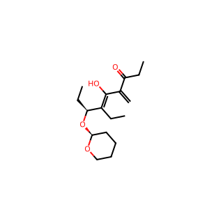 C=C(C(=O)CC)/C(O)=C(\CC)[C@H](CC)O[C@H]1CCCCO1